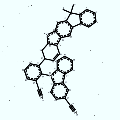 CC1(C)c2ccccc2-c2cc3c4c(sc3cc21)CC(c1cccc(C#N)c1-n1c2ccccc2c2cc(C#N)ccc21)C=C4